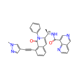 C[C@@H](NC(=O)c1cncc2cccnc12)c1cc2cccc(C#Cc3cnn(C)c3)c2c(=O)n1-c1ccccc1